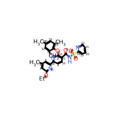 CCOc1cc(C)cc(-c2ccc(C(=O)NS(=O)(=O)c3ccccn3)c(Oc3c(C)cc(C)cc3C)n2)n1